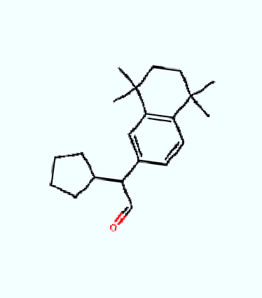 CC1(C)CCC(C)(C)c2cc(C(C=O)C3CCCC3)ccc21